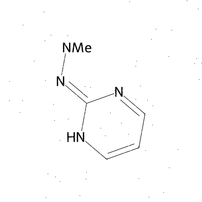 CNN=c1nccc[nH]1